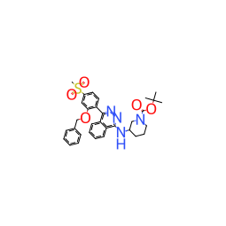 CC(C)(C)OC(=O)N1CCC[C@@H](Nc2nnc(-c3ccc(S(C)(=O)=O)cc3OCc3ccccc3)c3ccccc23)C1